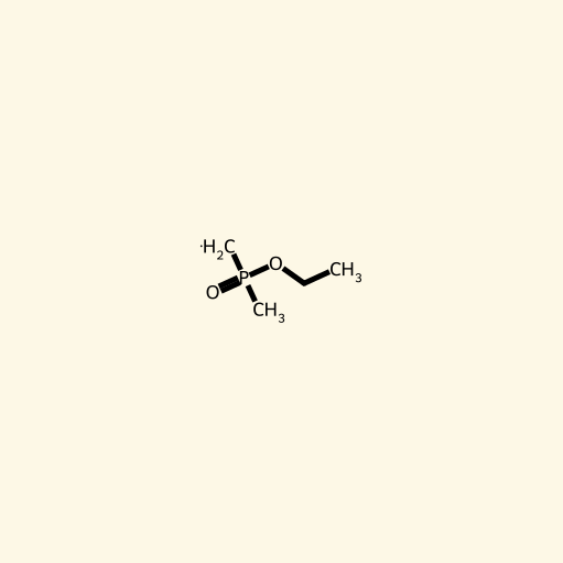 [CH2]P(C)(=O)OCC